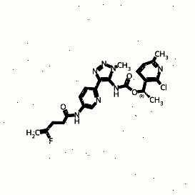 C=C(F)CCC(=O)Nc1ccc(-c2nnn(C)c2NC(=O)O[C@H](C)c2ccc(C)nc2Cl)nc1